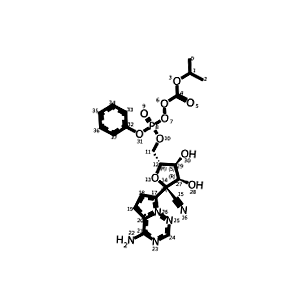 CC(C)OC(=O)OOP(=O)(OC[C@H]1O[C@@](C#N)(c2ccc3c(N)ncnn23)[C@H](O)[C@@H]1O)Oc1ccccc1